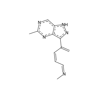 C=C(/C=C\C=N/C)c1n[nH]c2cnc(C)nc12